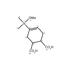 CO[Si](C)(C)C1=CCC(C(=O)O)C(C(=O)O)C1